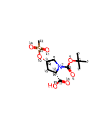 CC(C)(C)OC(=O)N1C[C@@H](OS(C)(=O)=O)C[C@H]1C(=O)O